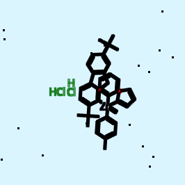 Cl.Cl.[CH2]=[Zr]([C]1=CC=CC1)([c]1ccccc1)([c]1ccc(C)cc1)[c]1c(C(C)(C)C)ccc2c1Cc1cc(C(C)(C)C)ccc1-2